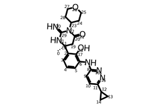 C[C@@]1(c2cccc(Nc3ccc(C4CC4)nn3)c2O)CC(=O)N(C2CCOCC2)C(=N)N1